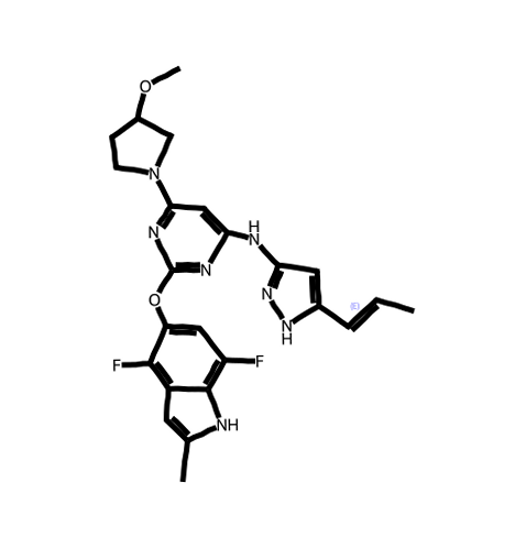 C/C=C/c1cc(Nc2cc(N3CCC(OC)C3)nc(Oc3cc(F)c4[nH]c(C)cc4c3F)n2)n[nH]1